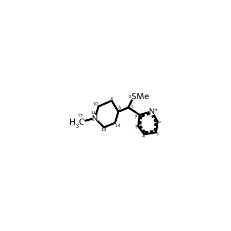 CSC(c1ccccn1)C1CCN(C)CC1